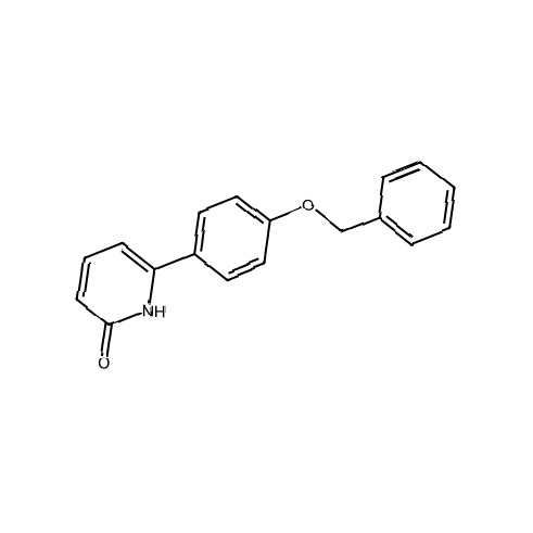 O=c1cccc(-c2ccc(OCc3ccccc3)cc2)[nH]1